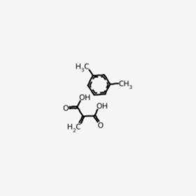 C=C(C(=O)O)C(=O)O.Cc1cccc(C)c1